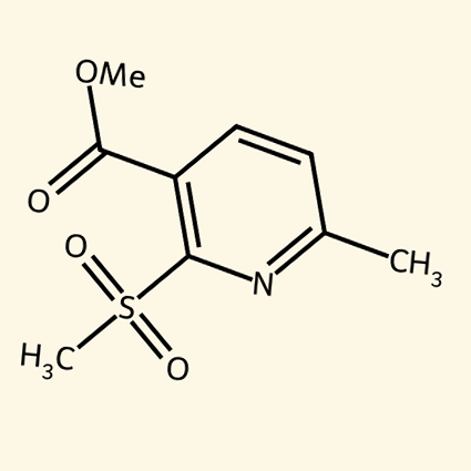 COC(=O)c1ccc(C)nc1S(C)(=O)=O